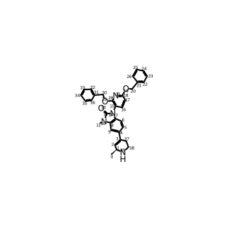 C[C@H]1C=C(c2ccc3c(c2)n(C)c(=O)n3-c2ccc(OCc3ccccc3)nc2OCc2ccccc2)CCN1